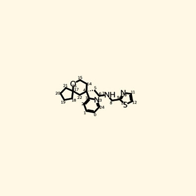 c1ccc([C@]2(CCNCc3nccs3)CCOC3(CCCC3)C2)nc1